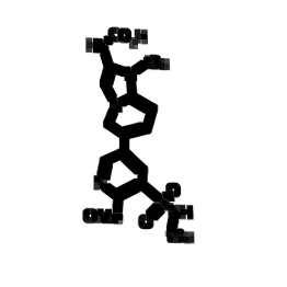 COc1ncc(C2=CC=C3N(C=C(NC(=O)O)N3C(C)(C)C)C2)cc1S(=O)(=O)NC(C)(C)C